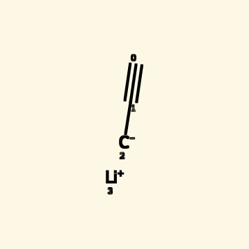 C#C[CH2-].[Li+]